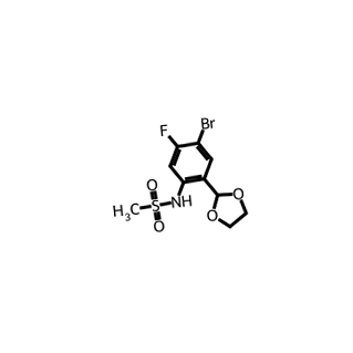 CS(=O)(=O)Nc1cc(F)c(Br)cc1C1OCCO1